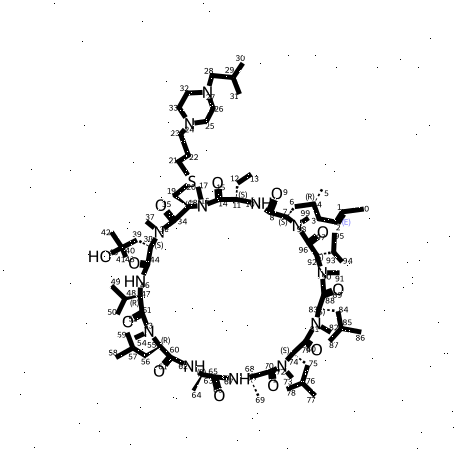 C/C=C/C[C@@H](C)C[C@H]1C(=O)N[C@@H](CC)C(=O)N(C)[C@H](CSCCCN2CCN(CC(C)C)CC2)C(=O)N(C)[C@@H](CC(C)(C)O)C(=O)N[C@H](C(C)C)C(=O)N(C)[C@H](CC(C)C)C(=O)N[C@H](C)C(=O)N[C@@H](C)C(=O)N(C)[C@@H](CC(C)C)C(=O)N(C)[C@@H](CC(C)C)C(=O)N(C)[C@@H](C(C)C)C(=O)N1C